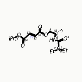 CCN(CC)C(=O)N[C@@H](C)COC(=O)/C=C/C(=O)OC(C)C